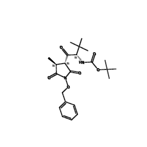 C[C@@H]1C(=O)N(OCc2ccccc2)C(=O)[C@H]1C(=O)[C@@H](NC(=O)OC(C)(C)C)C(C)(C)C